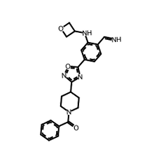 N=Cc1ccc(-c2nc(C3CCN(C(=O)c4ccccc4)CC3)no2)cc1NC1COC1